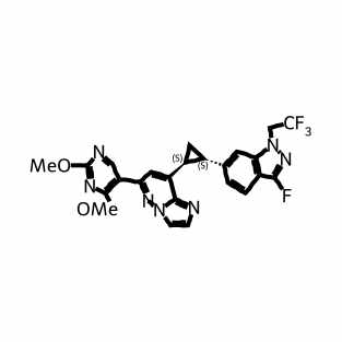 COc1ncc(-c2cc([C@H]3C[C@@H]3c3ccc4c(F)nn(CC(F)(F)F)c4c3)c3nccn3n2)c(OC)n1